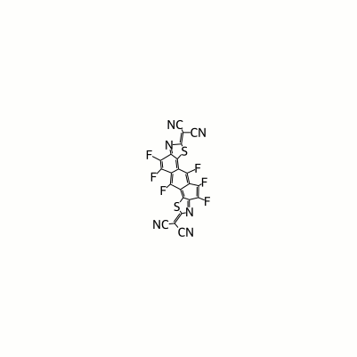 N#CC(C#N)=c1nc2c(F)c(F)c3c(F)c4c(c(F)c(F)c5nc(=C(C#N)C#N)sc54)c(F)c3c2s1